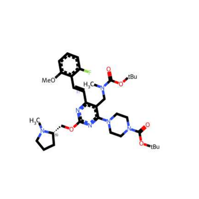 COc1cccc(F)c1/C=C/c1nc(OC[C@@H]2CCCN2C)nc(N2CCN(C(=O)OC(C)(C)C)CC2)c1CN(C)C(=O)OC(C)(C)C